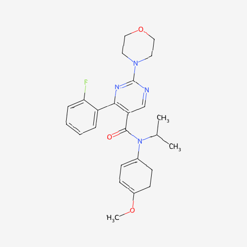 COC1=CC=C(N(C(=O)c2cnc(N3CCOCC3)nc2-c2ccccc2F)C(C)C)CC1